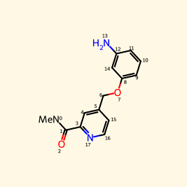 CNC(=O)c1cc(COc2cccc(N)c2)ccn1